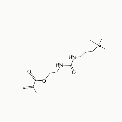 C=C(C)C(=O)OCCNC(=O)NCCC[Si](C)(C)C